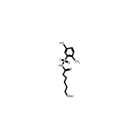 CCCCCCCCCCCCCCCC(=O)NS(=O)(=O)c1cc(O)ccc1C